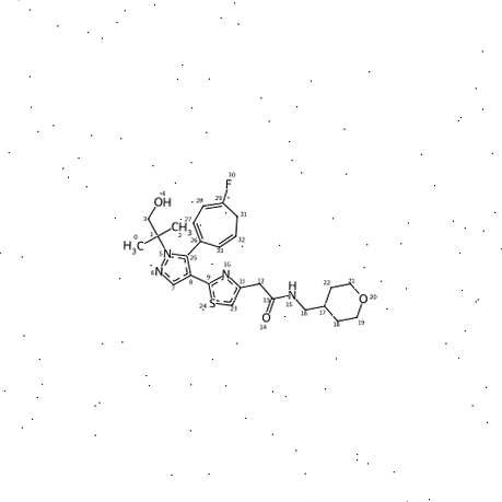 CC(C)(CO)n1ncc(-c2nc(CC(=O)NCC3CCOCC3)cs2)c1C1=CC=C(F)CC=C1